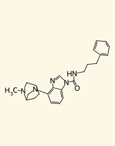 CN1CC2CCC1CN2c1cccc2c1ncn2C(=O)NCCCc1ccccc1